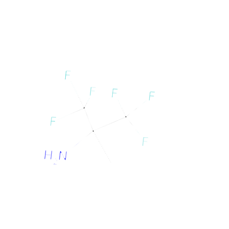 CC(N)(C(F)(F)F)C(F)(F)F